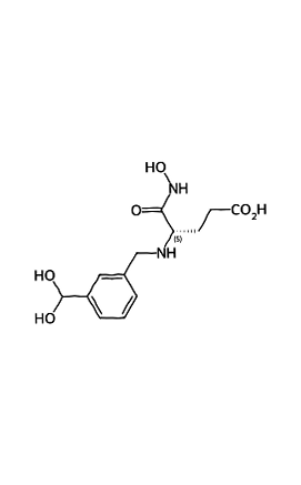 O=C(O)CC[C@H](NCc1cccc(C(O)O)c1)C(=O)NO